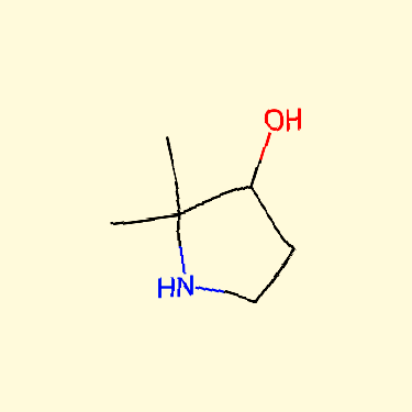 CC1(C)NCCC1O